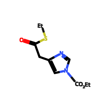 CCOC(=O)n1cnc(CC(=O)SCC)c1